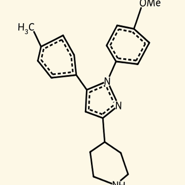 COc1ccc(-n2nc(C3CCNCC3)cc2-c2ccc(C)cc2)cc1